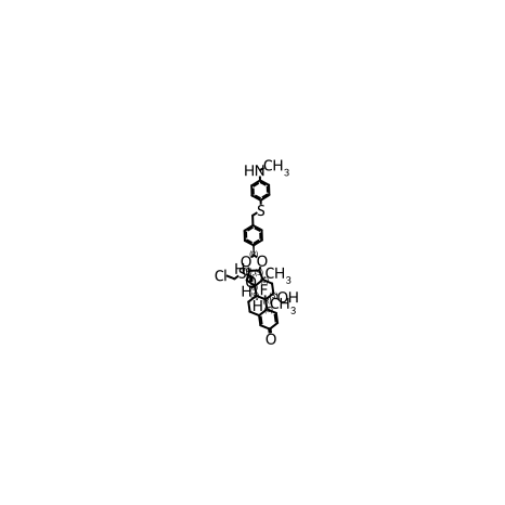 CNc1ccc(SCc2ccc([C@@H]3O[C@@H]4C[C@H]5[C@@H]6CCC7=CC(=O)C=C[C@]7(C)[C@@]6(F)[C@@H](O)C[C@]5(C)[C@]4(C(=O)SCCl)O3)cc2)cc1